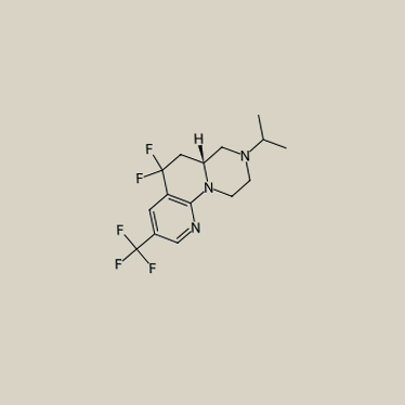 CC(C)N1CCN2c3ncc(C(F)(F)F)cc3C(F)(F)C[C@@H]2C1